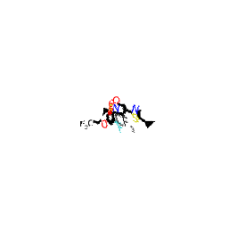 O=C1C=C(c2ncc(C3CC3)s2)CC(c2ccc(OCCCC(F)(F)F)cc2F)(C(F)(F)F)N1S(=O)(=O)C1CC1